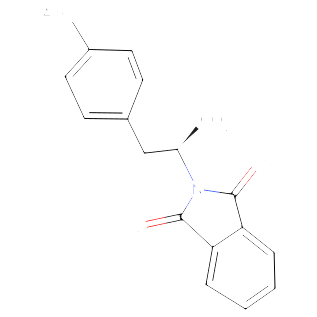 CC(=O)Oc1ccc(C[C@@H](C(=O)O)N2C(=O)c3ccccc3C2=O)cc1